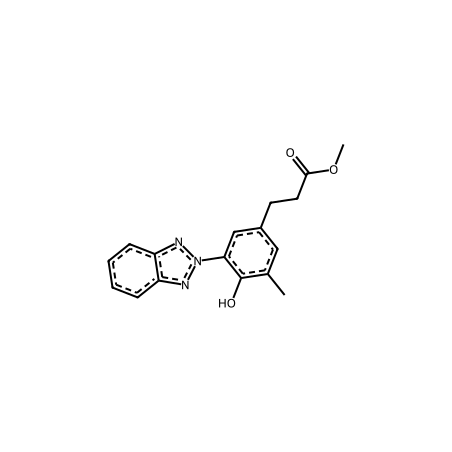 COC(=O)CCc1cc(C)c(O)c(-n2nc3ccccc3n2)c1